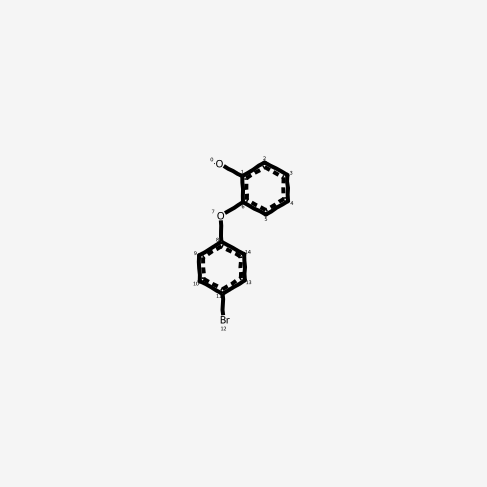 [O]c1ccccc1Oc1ccc(Br)cc1